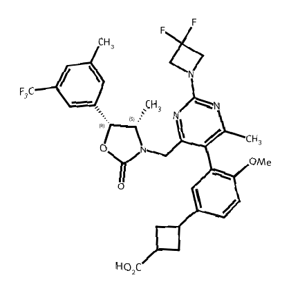 COc1ccc(C2CC(C(=O)O)C2)cc1-c1c(C)nc(N2CC(F)(F)C2)nc1CN1C(=O)O[C@H](c2cc(C)cc(C(F)(F)F)c2)[C@@H]1C